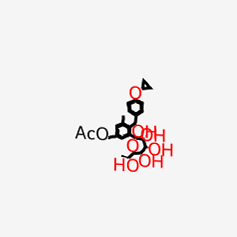 CC(=O)OCc1cc(C)c(Cc2ccc(OC3CC3)cc2)c([C@@]2(O)O[C@H]([C@H](C)O)[C@@H](O)[C@H](O)[C@H]2O)c1